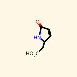 O=C(O)CC1C=CC(=O)N1